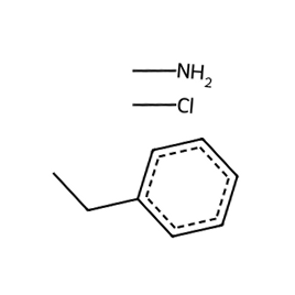 CCc1ccccc1.CCl.CN